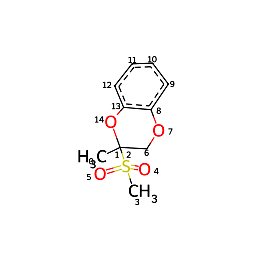 CC1(S(C)(=O)=O)COc2ccccc2O1